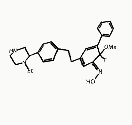 CCN1CCNCC1c1ccc(CCC2=CC(=NO)C(F)(OC)C(c3ccccc3)=C2)cc1